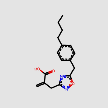 C=C(Cc1noc(Cc2ccc(CCCC)cc2)n1)C(=O)O